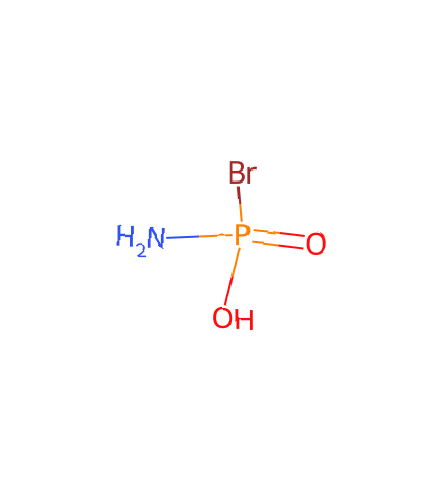 NP(=O)(O)Br